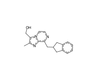 Cc1nc2c(CC3Cc4ccccc4C3)nccn2c1CO